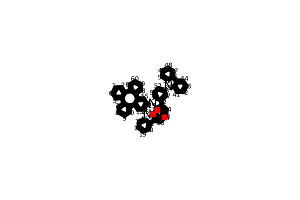 c1ccc2c(c1)-c1ccccc1-c1cc(-n3c4ccccc4c4ccccc43)c(-n3c4ccccc4c4cc(-n5c6ccccc6c6ccccc65)ccc43)cc1-c1ccccc1-2